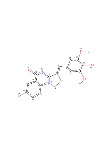 COc1cc(C=C2CCn3c2nc(=O)c2cc(Br)ccc23)cc(OC)c1O